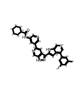 Cc1cc(F)cc(-c2cncc3[nH]c(-c4n[nH]c5cnc(-c6cncc(NC(=O)C7CCCCC7)c6)cc45)cc23)c1